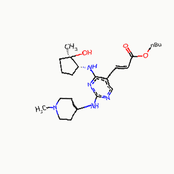 CCCCOC(=O)/C=C/c1cnc(NC2CCN(C)CC2)nc1N[C@@H]1CCC[C@@]1(C)O